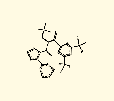 CC(c1ncnn1-c1ncccn1)N(C[Si](C)(C)C)C(=O)c1cc(C(F)(F)F)cc(C(F)(F)F)c1